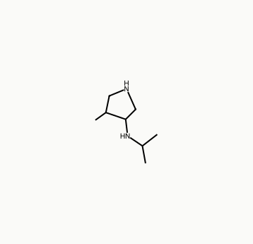 CC(C)NC1CNCC1C